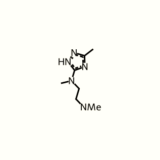 CNCCN(C)c1nc(C)n[nH]1